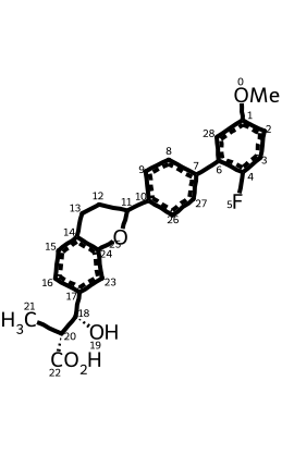 COc1ccc(F)c(-c2ccc(C3CCc4ccc([C@H](O)[C@@H](C)C(=O)O)cc4O3)cc2)c1